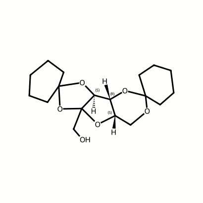 OCC12O[C@H]3COC4(CCCCC4)O[C@H]3[C@@H]1OC1(CCCCC1)O2